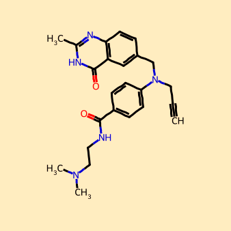 C#CCN(Cc1ccc2nc(C)[nH]c(=O)c2c1)c1ccc(C(=O)NCCN(C)C)cc1